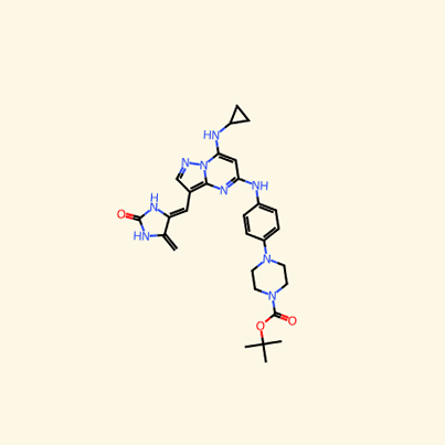 C=c1[nH]c(=O)[nH]/c1=C\c1cnn2c(NC3CC3)cc(Nc3ccc(N4CCN(C(=O)OC(C)(C)C)CC4)cc3)nc12